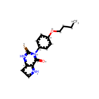 O=c1c2[nH]ccc2[nH]c(=S)n1-c1ccc(OCCCC(F)(F)F)cc1